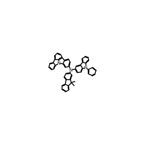 CC1(C)c2ccccc2-c2ccc(N(c3ccc4c(c3)c3ccccc3n4-c3ccccc3)c3ccc4c5cccc6c7ccccc7n(c4c3)c65)cc21